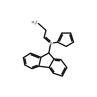 CC[CH]=[Zr]([C]1=CC=CC1)[CH]1c2ccccc2-c2ccccc21